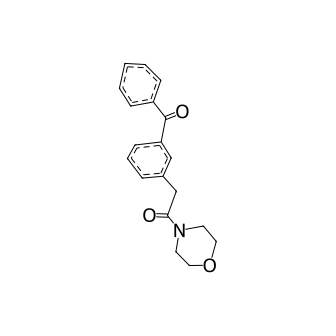 O=C(c1ccccc1)c1cccc(CC(=O)N2CCOCC2)c1